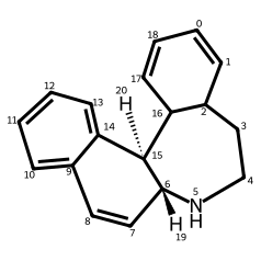 C1=CC2CCN[C@@H]3C=Cc4ccccc4[C@H]3C2C=C1